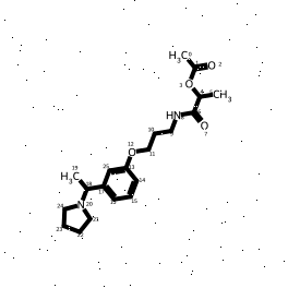 CC(=O)OC(C)C(=O)NCCCOc1cccc(C(C)N2CCCC2)c1